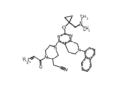 C=CC(=O)N1CCN(c2nc(OC3(CN(C)C)CC3)nc3c2CCN(c2cccc4ccccc24)C3)CC1CC#N